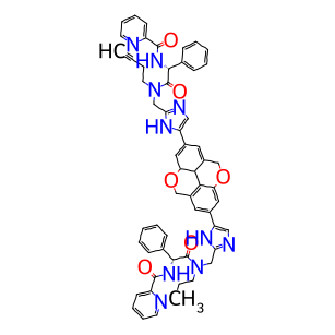 C#CCCN(Cc1ncc(C2=CC3OCc4cc(-c5cnc(CN(CCC)C(=O)[C@H](NC(=O)c6ccccn6)c6ccccc6)[nH]5)cc5c4C3C(=C2)CO5)[nH]1)C(=O)[C@H](NC(=O)c1ccccn1)c1ccccc1